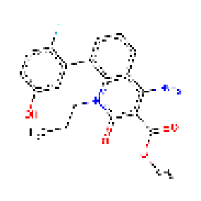 CCCn1c(=O)c(C(=O)OC)c(N)c2cccc(-c3cc(O)ccc3F)c21